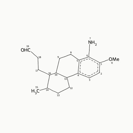 COc1ccc2c(c1N)CCC1C2CCC(C)C1CCC=O